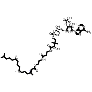 C/C(=C\C(=O)SCCNC(=O)CCNC(=O)[C@H](O)C(C)(C)COP(=O)(O)OP(=O)(O)OC[C@H]1O[C@@H](n2cnc3c(N)ncnc32)[C@H](O)[C@@H]1OP(=O)(O)O)CCC[C@H](C)CCC[C@H](C)CCCC(C)C